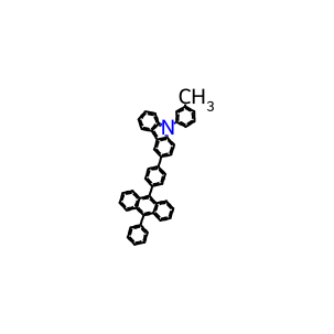 Cc1cccc(-n2c3ccccc3c3cc(-c4ccc(-c5c6ccccc6c(-c6ccccc6)c6ccccc56)cc4)ccc32)c1